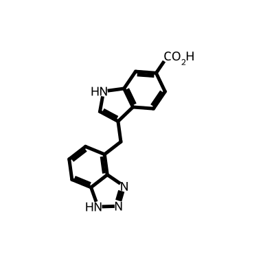 O=C(O)c1ccc2c(Cc3cccc4[nH]nnc34)c[nH]c2c1